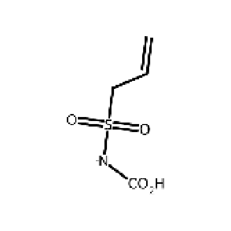 C=CCS(=O)(=O)[N]C(=O)O